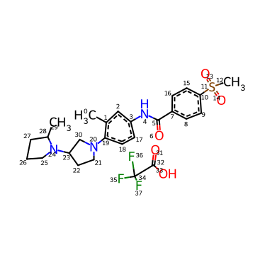 Cc1cc(NC(=O)c2ccc(S(C)(=O)=O)cc2)ccc1N1CCC(N2CCCC2C)C1.O=C(O)C(F)(F)F